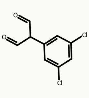 O=CC(C=O)c1cc(Cl)cc(Cl)c1